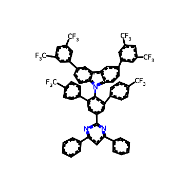 FC(F)(F)c1ccc(-c2cc(-c3nc(-c4ccccc4)cc(-c4ccccc4)n3)cc(-c3ccc(C(F)(F)F)cc3)c2-n2c3ccc(-c4cc(C(F)(F)F)cc(C(F)(F)F)c4)cc3c3cc(-c4cc(C(F)(F)F)cc(C(F)(F)F)c4)ccc32)cc1